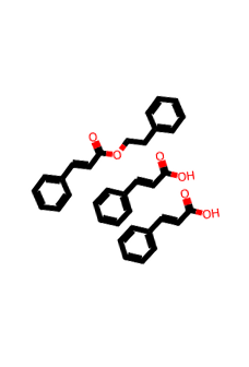 O=C(/C=C/c1ccccc1)OCCc1ccccc1.O=C(O)/C=C/c1ccccc1.O=C(O)C=Cc1ccccc1